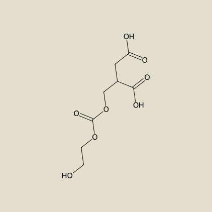 O=C(O)CC(COC(=O)OCCO)C(=O)O